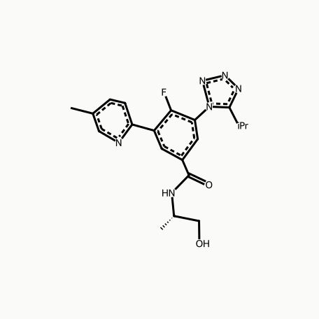 Cc1ccc(-c2cc(C(=O)N[C@@H](C)CO)cc(-n3nnnc3C(C)C)c2F)nc1